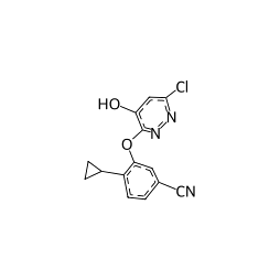 N#Cc1ccc(C2CC2)c(Oc2nnc(Cl)cc2O)c1